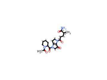 CC(=O)N1CCCCC1C(=O)N1CC(=O)C2C1CCN2C(=O)[CH]CC(C)C(N)=O